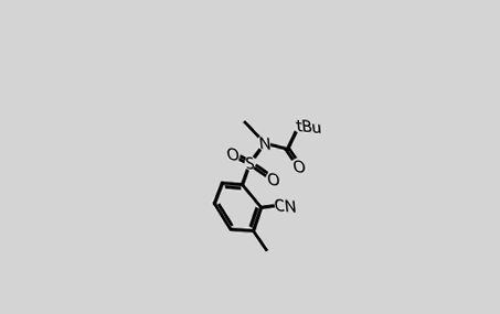 Cc1cccc(S(=O)(=O)N(C)C(=O)C(C)(C)C)c1C#N